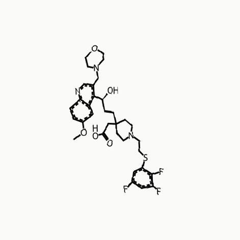 COc1ccc2ncc(CN3CCOCC3)c([C@@H](O)CCC3(CC(=O)O)CCN(CCSc4cc(F)cc(F)c4F)CC3)c2c1